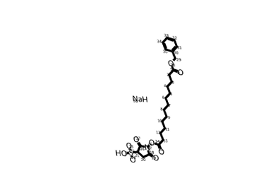 O=C(CCCCCCCCCCCCC(=O)ON1C(=O)CC(S(=O)(=O)O)C1=O)OCc1ccccc1.[NaH]